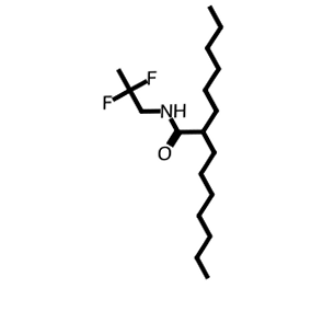 CCCCCCCC(CCCCCC)C(=O)NCC(C)(F)F